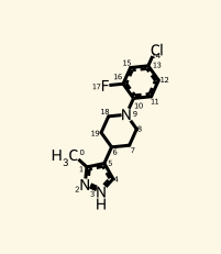 Cc1n[nH]cc1C1CCN(c2ccc(Cl)cc2F)CC1